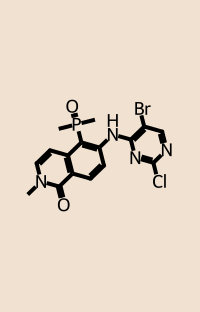 Cn1ccc2c(P(C)(C)=O)c(Nc3nc(Cl)ncc3Br)ccc2c1=O